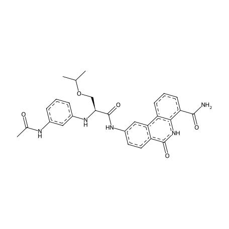 CC(=O)Nc1cccc(N[C@@H](COC(C)C)C(=O)Nc2ccc3c(=O)[nH]c4c(C(N)=O)cccc4c3c2)c1